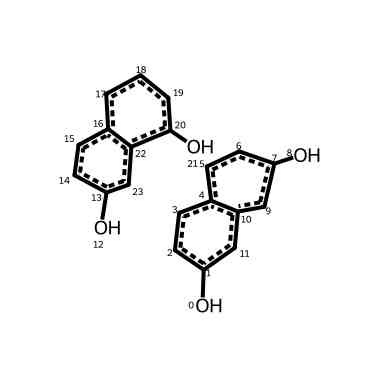 Oc1ccc2ccc(O)cc2c1.Oc1ccc2cccc(O)c2c1